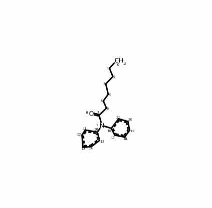 CCCCCCCC(=O)N(c1ccccc1)c1ccccc1